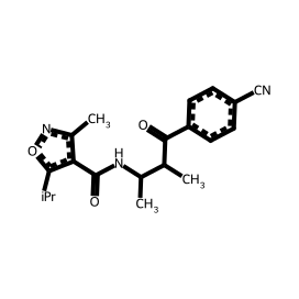 Cc1noc(C(C)C)c1C(=O)NC(C)C(C)C(=O)c1ccc(C#N)cc1